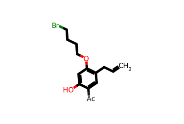 C=CCc1cc(C(C)=O)c(O)cc1OCCCCBr